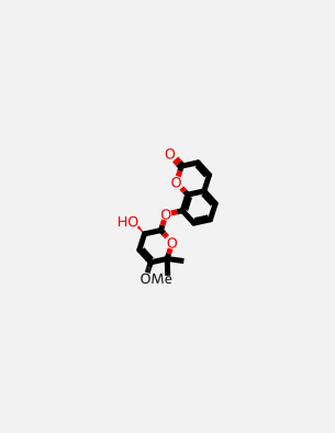 COC1=C[C@H](O)C(Oc2cccc3ccc(=O)oc23)OC1(C)C